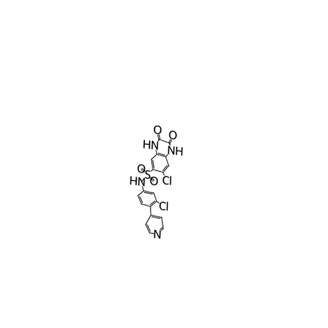 O=c1[nH]c2cc(Cl)c(S(=O)(=O)Nc3ccc(-c4ccncc4)c(Cl)c3)cc2[nH]c1=O